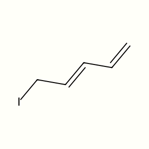 C=CC=CCI